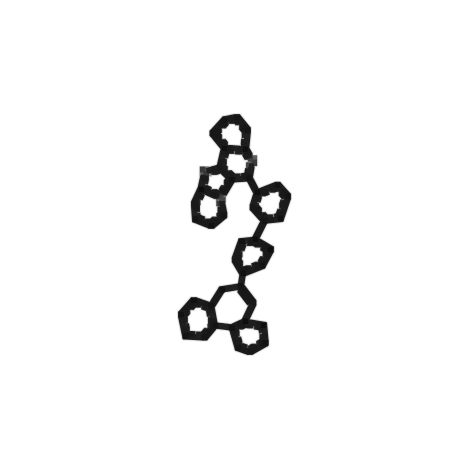 C1=C(c2ccc(-c3cccc(-c4nc5ccccc5c5nc6ccccn6c45)c3)cc2)Cc2ccccc2-c2ccccc21